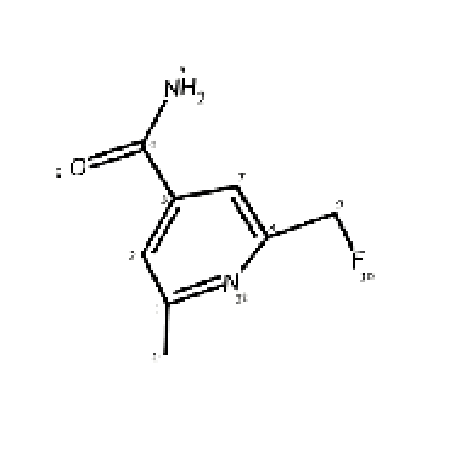 Cc1cc(C(N)=O)cc(CF)n1